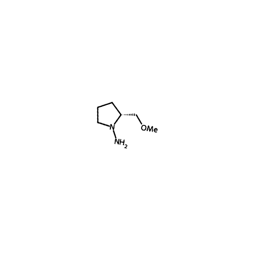 COC[C@H]1CCCN1N